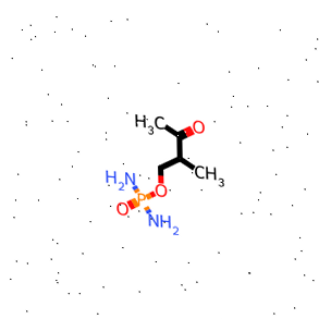 CC(=O)C(C)COP(N)(N)=O